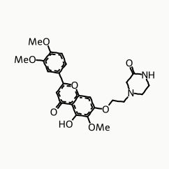 COc1ccc(-c2cc(=O)c3c(O)c(OC)c(OCCN4CCNC(=O)C4)cc3o2)cc1OC